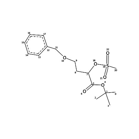 CC(C)(C)OC(=O)C(CCOCc1ccccc1)OS(C)(=O)=O